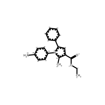 CCOC(=O)c1cc(-c2ccccc2)n(-c2ccc(N)cc2)c1C